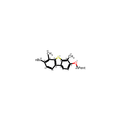 CCCCCOc1ccc2c(sc3c(C)c(CCCC)ccc32)c1C